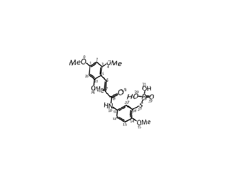 COc1cc(OC)c(/C=C/C(=O)Nc2ccc(OC)c(SP(=O)(O)O)c2)c(OC)c1